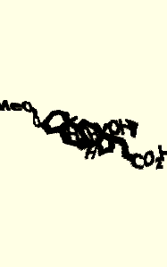 COCOC1CC[C@@]2(C)C(=CC[C@@H]3[C@@H]2CC[C@@]2(C)[C@H]3CC[C@]2(O)CCC(=O)O)C1